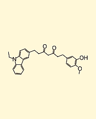 CCn1c2ccccc2c2cc(CCC(=O)CC(=O)CCc3ccc(OC)c(O)c3)ccc21